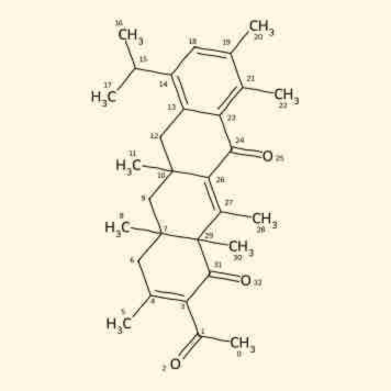 CC(=O)C1=C(C)CC2(C)CC3(C)Cc4c(C(C)C)cc(C)c(C)c4C(=O)C3=C(C)C2(C)C1=O